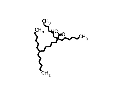 CCCCCCC(CCCCCC)CCCCCC(CCCCCC)(CCCCCC)C(=O)O